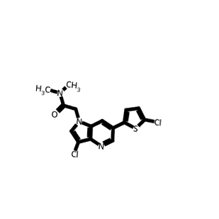 CN(C)C(=O)Cn1cc(Cl)c2ncc(-c3ccc(Cl)s3)cc21